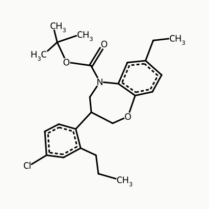 CCCc1cc(Cl)ccc1C1COc2ccc(CC)cc2N(C(=O)OC(C)(C)C)C1